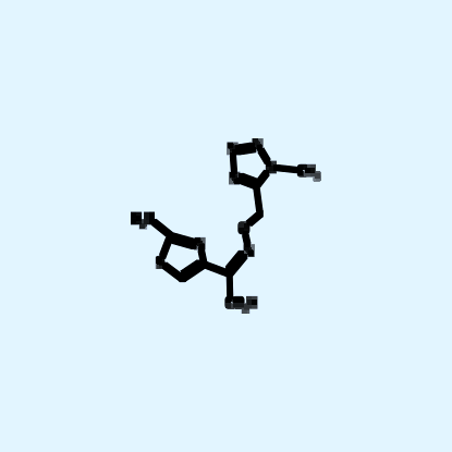 Cn1nnnc1CON=C(C(=O)O)c1csc(N)n1